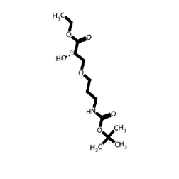 CCOC(=O)[C@@H](O)COCCCNC(=O)OC(C)(C)C